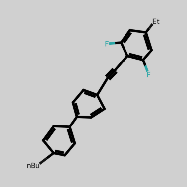 CCCCc1ccc(-c2ccc(C#Cc3c(F)cc(CC)cc3F)cc2)cc1